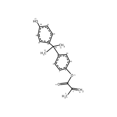 C=C(C)C(=O)Oc1ccc(C(C)(C)c2ccc(O)cc2)cc1